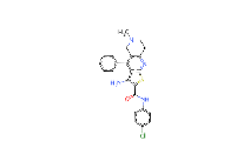 CN1CCc2nc3sc(C(=O)Nc4ccc(Cl)cc4)c(N)c3c(-c3ccccc3)c2C1